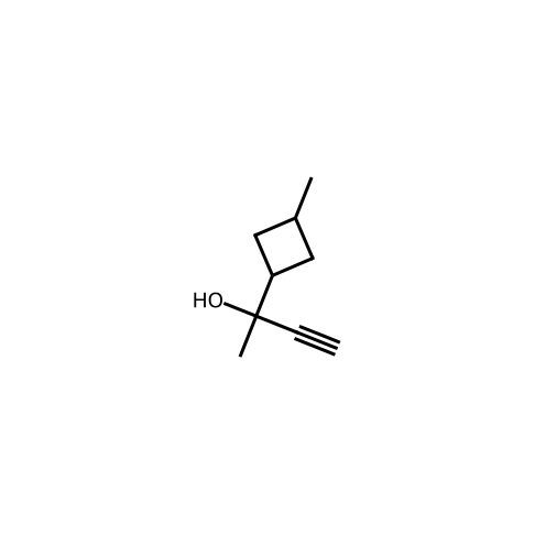 C#CC(C)(O)C1CC(C)C1